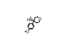 CNC1(c2ccc(OC)cc2)CCOCC1